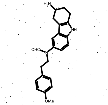 COc1ccc(CCN(C=O)c2ccc3[nH]c4c(c3c2)CC(N)CC4)cc1